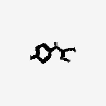 NC(=NF)Nc1ccc(I)cc1